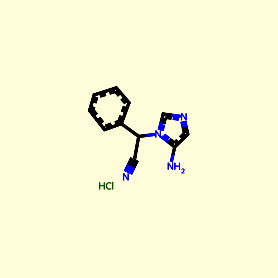 Cl.N#CC(c1ccccc1)n1cncc1N